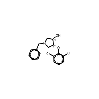 O[C@@H]1CN(Cc2ccccc2)C[C@H]1Oc1c(Cl)cccc1Cl